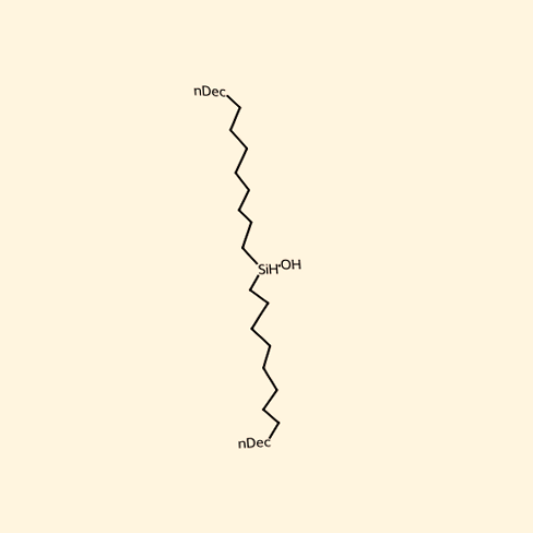 CCCCCCCCCCCCCCCCCC[SiH](O)CCCCCCCCCCCCCCCCCC